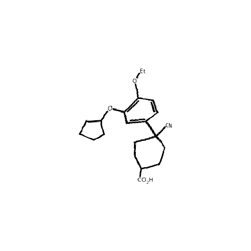 CCOc1ccc(C2(C#N)CCC(C(=O)O)CC2)cc1OC1CCCC1